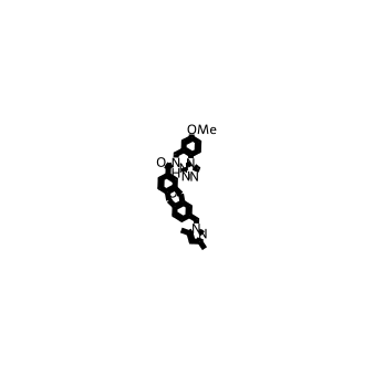 COc1ccc(-n2cnnn2)c(CNC(=O)c2ccc3c(c2)C2OC3c3ccc(Cn4nc(C)cc4C)cc32)c1